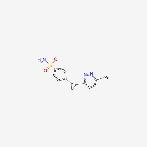 CC(C)c1ccc(C2CC2c2ccc(S(N)(=O)=O)cc2)nn1